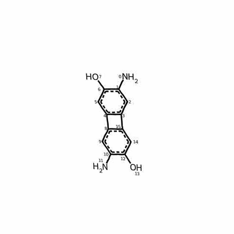 Nc1cc2c(cc1O)-c1cc(N)c(O)cc1-2